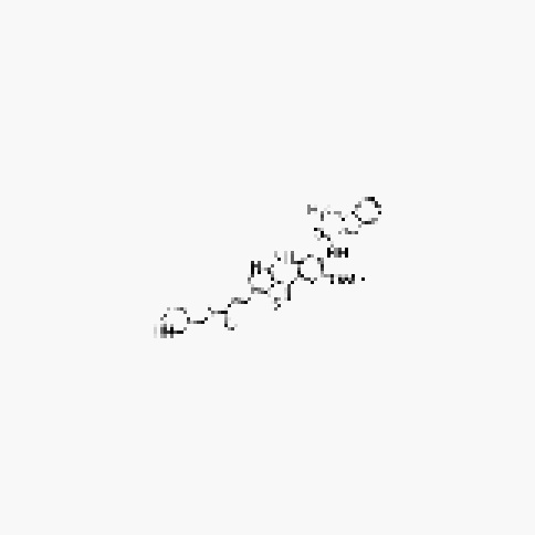 COc1cc(-c2csc3c(C=CC(=O)NCC4CCCNC4)cnc(N)c23)ccc1NC(=O)c1cc2ccccc2n1C